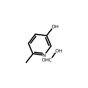 Cc1ccc(O)cn1.O=CO